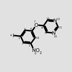 O=[N+]([O-])c1cc(I)cc(Oc2cncnc2)c1